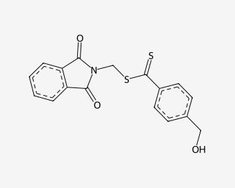 O=C1c2ccccc2C(=O)N1CSC(=S)c1ccc(CO)cc1